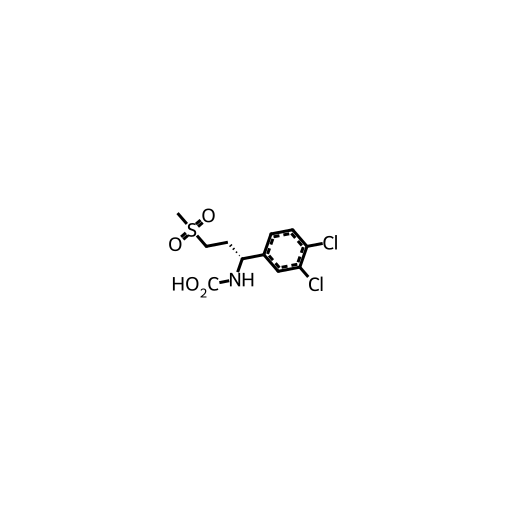 CS(=O)(=O)CC[C@@H](NC(=O)O)c1ccc(Cl)c(Cl)c1